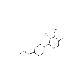 CC=CC1CCC(C2CCC(C)C(F)C2F)CC1